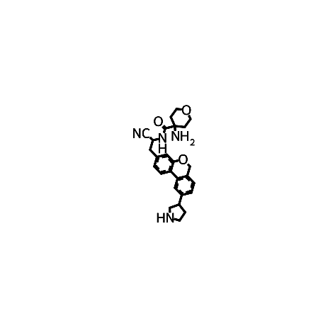 N#CC(Cc1ccc2c(c1)OCc1ccc(C3CCNC3)cc1-2)NC(=O)C1(N)CCOCC1